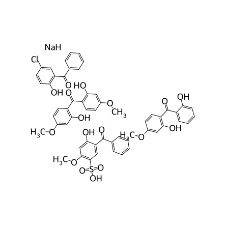 COc1cc(O)c(C(=O)c2ccccc2)cc1S(=O)(=O)O.COc1ccc(C(=O)c2ccc(OC)cc2O)c(O)c1.COc1ccc(C(=O)c2ccccc2O)c(O)c1.O=C(c1ccccc1)c1cc(Cl)ccc1O.[NaH]